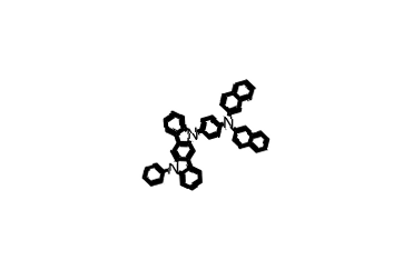 c1ccc(-n2c3ccccc3c3cc4c(cc32)c2ccccc2n4-c2ccc(N(c3ccc4ccccc4c3)c3ccc4ccccc4c3)cc2)cc1